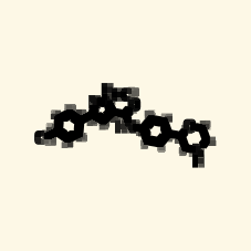 Cl.O=C(Nc1ccc(C2CNCCO2)cc1)c1cc(-c2ccc(Cl)cc2)n[nH]1